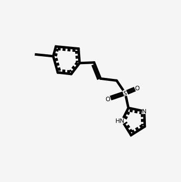 Cc1ccc(C=CCS(=O)(=O)c2ncc[nH]2)cc1